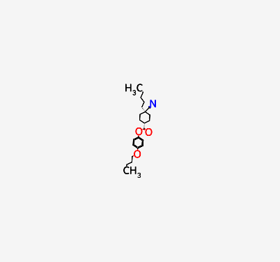 CCCCC[C@]1(C#N)CC[C@H](C(=O)Oc2ccc(OCCCC)cc2)CC1